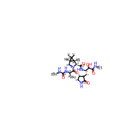 CCNC(=O)C(O)[C@H](CC1CCNC1=O)NC(=O)[C@@H]1[C@@H]2[C@H](CN1C(=O)C(NC(=O)NC(C)(C)C)C(C)(C)C)C2(C)C